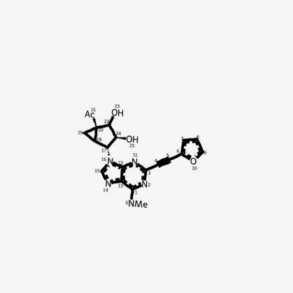 CNc1nc(C#Cc2ccco2)nc2c1ncn2[C@@H]1C2C[C@]2(C(C)=O)C(O)[C@H]1O